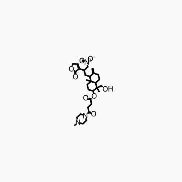 C=C1CCC2C(C)(CO)C(OC(=O)CCC(=O)N3CCN(C)CC3)CCC2(C)C1CC(C[N+](=O)[O-])C1=CCOC1=O